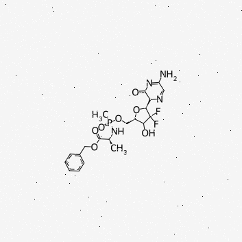 C[C@H](NP(C)(=O)OC[C@H]1O[C@@H](C2N=CC(N)=NC2=O)C(F)(F)C1O)C(=O)OCc1ccccc1